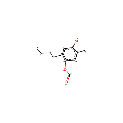 CCCCc1cc(S)c(C)cc1OC=O